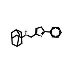 C1=C(CNC23CC4CC(CC(C4)C2)C3)N=C(c2ccccc2)C1